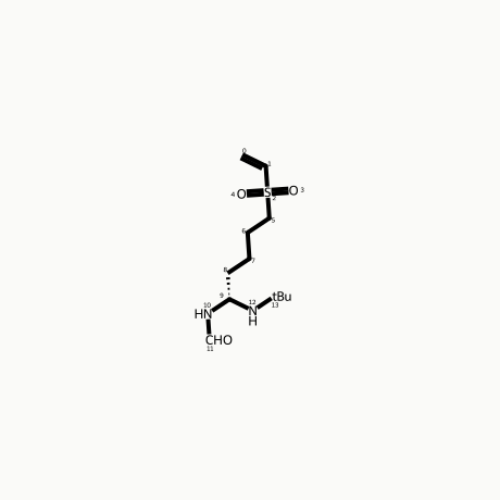 C=CS(=O)(=O)CCCC[C@@H](NC=O)NC(C)(C)C